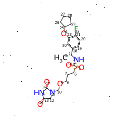 C[C@@H](NS(=O)(=O)CCCOCN1CC(=O)NC1=O)c1ccc(F)c(OC2CCCC2)c1